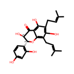 CC(C)=CCc1c(O)c(CC=C(C)C)c2c(c1O)C(=O)[C@H](O)[C@@H](c1ccc(O)cc1O)O2